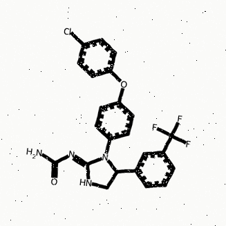 NC(=O)N=C1NCC(c2cccc(C(F)(F)F)c2)N1c1ccc(Oc2ccc(Cl)cc2)cc1